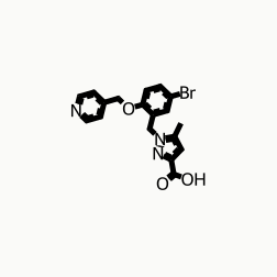 Cc1cc(C(=O)O)nn1Cc1cc(Br)ccc1OCc1ccncc1